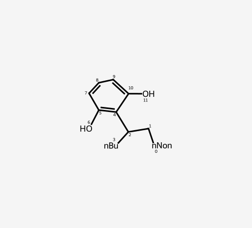 CCCCCCCCCCC(CCCC)c1c(O)cccc1O